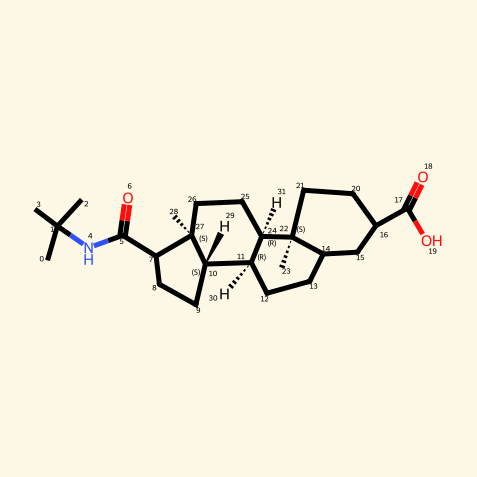 CC(C)(C)NC(=O)C1CC[C@H]2[C@@H]3CCC4CC(C(=O)O)CC[C@]4(C)[C@@H]3CC[C@]12C